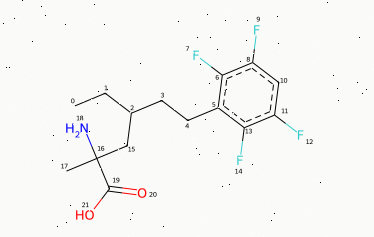 CCC(CCc1c(F)c(F)cc(F)c1F)CC(C)(N)C(=O)O